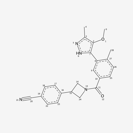 COc1c(C)n[nH]c1-c1cc(C(=O)N2CC(c3ccc(C#N)cc3)C2)ccc1C